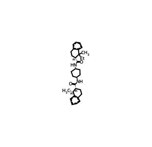 CCC1(C)c2ccccc2CC[C@H]1C(=O)N[C@H]1CC[C@H](NC(=O)[C@@H]2CCc3ccccc3[C@@H]2C)CC1